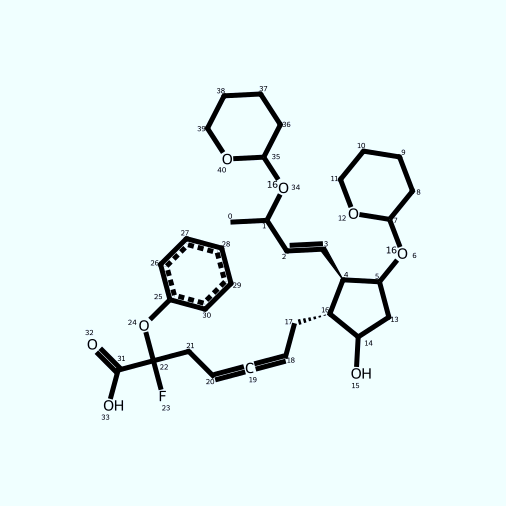 CC(/C=C/[C@H]1C([16O]C2CCCCO2)CC(O)[C@@H]1CC=C=CCC(F)(Oc1ccccc1)C(=O)O)[16O]C1CCCCO1